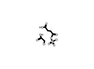 O=C(O)CCC(=O)OS(=O)(=O)Cl.O=C(O)CCl